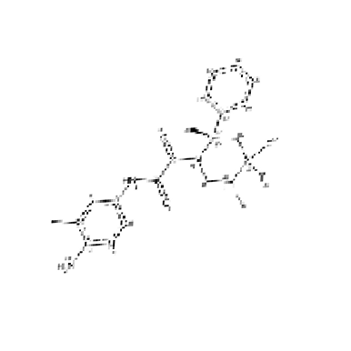 Cc1cc(NC(=O)C(=O)N2C[C@@H](C)C(F)(F)C[C@@]2(C)c2ccccc2)cnc1N